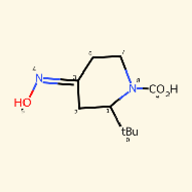 CC(C)(C)C1C/C(=N\O)CCN1C(=O)O